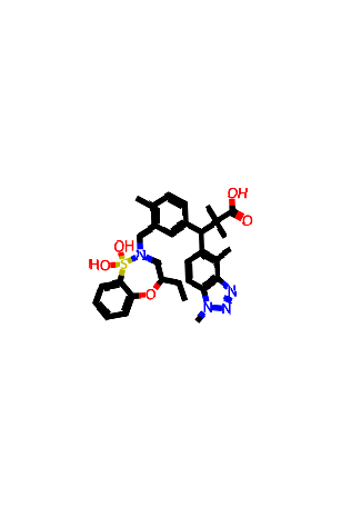 CCC1CN(Cc2cc(C(c3ccc4c(nnn4C)c3C)C(C)(C)C(=O)O)ccc2C)S(O)(O)c2ccccc2O1